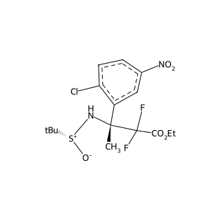 CCOC(=O)C(F)(F)[C@](C)(N[S@+]([O-])C(C)(C)C)c1cc([N+](=O)[O-])ccc1Cl